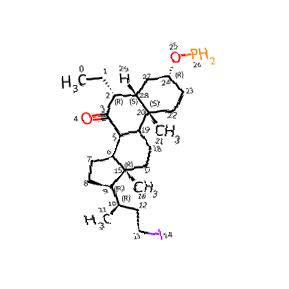 CC[C@H]1C(=O)C2C3CC[C@H]([C@H](C)CCI)[C@@]3(C)CCC2[C@@]2(C)CC[C@@H](OP)C[C@@H]12